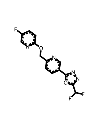 Fc1ccc(OCc2ccc(-c3nnc(C(F)F)o3)cn2)nc1